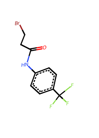 O=C(CCBr)Nc1ccc(C(F)(F)F)cc1